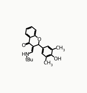 Cc1cc(C2Oc3ccccc3C(=O)C2=CNC(C)(C)C)cc(C)c1O